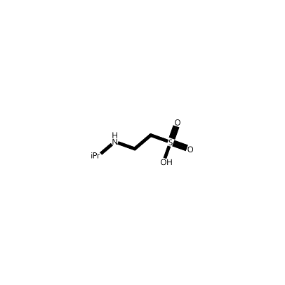 CC(C)NCCS(=O)(=O)O